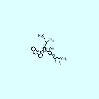 CCCCC(CC)COc1ccc(-c2nc(OCC(CC)CCCC)nc(-c3cc4c5ccccc5ccc4c4ccccc34)n2)c(O)c1